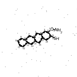 NOc1cc2cc3cc4ccccc4cc3cc2cc1S